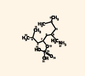 CC(C)CC(C)CC(CC(C)C)OP(=O)(O)O.N